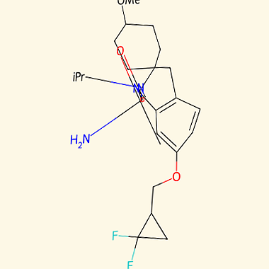 COC1CCC2(CC1)Cc1ccc(OCC3CC3(F)F)cc1C21N=C(N)N(C(C)C)C1=O